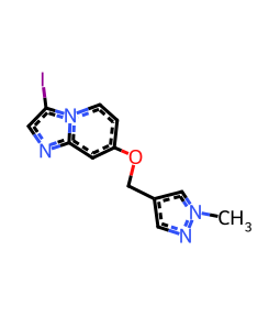 Cn1cc(COc2ccn3c(I)cnc3c2)cn1